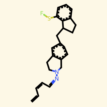 C=C/C=C\C=N/N1CCc2cc(CC3CCc4cccc(SF)c43)ccc2C1